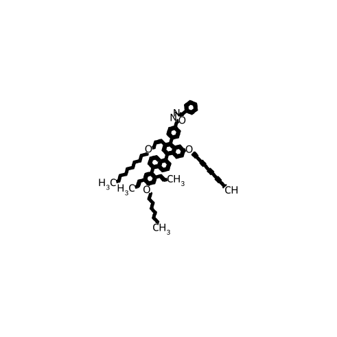 C#CC#CC#CC#CC#COc1ccc2c(-c3cccc4c(-c5cc(/C=C/C)c(OCCCCCCCC)cc5/C=C/C)cccc34)cc(/C=C\COCCCCCCCCCC)c(-c3ccc(-c4nnc(-c5ccccc5)o4)cc3)c2c1